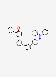 Oc1ccc(-c2cccc(-c3cccc(-c4cccc(-c5ccccc5Nc5ccccc5)c4)c3)c2)cc1C1=CC=CCC1